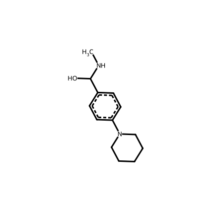 CNC(O)c1ccc(N2CCCCC2)cc1